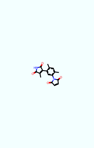 CC1=C(c2cc(N3C(=O)C=CC3=O)c(C)cc2C)C(=O)NC1=O